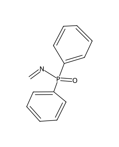 C=NP(=O)(c1ccccc1)c1ccccc1